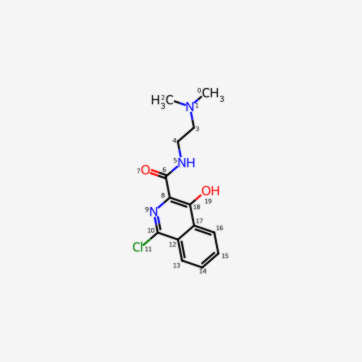 CN(C)CCNC(=O)c1nc(Cl)c2ccccc2c1O